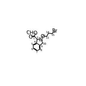 O=CC(=O)C1c2ccccc2CN1OCCCBr